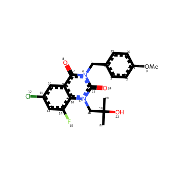 COc1ccc(Cn2c(=O)c3cc(Cl)cc(F)c3n(CC(C)(C)O)c2=O)cc1